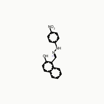 O=[N+]([O-])c1ccc(N/N=C/c2c(O)ccc3ccccc23)cc1